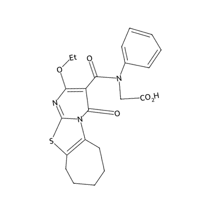 CCOc1nc2sc3c(n2c(=O)c1C(=O)N(CC(=O)O)c1ccccc1)CCCCC3